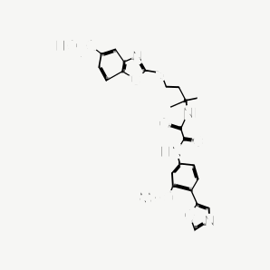 COc1cc(NC(=O)C(=O)NC(C)(C)CCSc2nc3cc(C(=O)O)ccc3o2)ccc1-c1cnco1